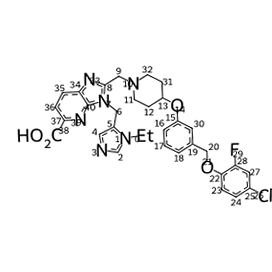 CCn1cncc1Cn1c(CN2CCC(Oc3cccc(COc4ccc(Cl)cc4F)c3)CC2)nc2ccc(C(=O)O)nc21